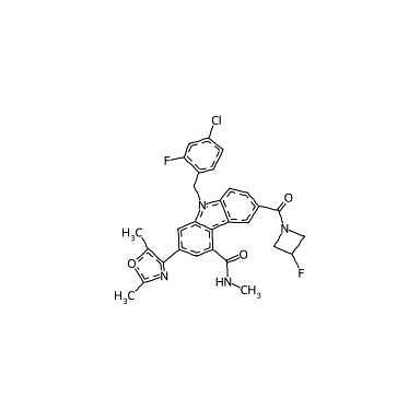 CNC(=O)c1cc(-c2nc(C)oc2C)cc2c1c1cc(C(=O)N3CC(F)C3)ccc1n2Cc1ccc(Cl)cc1F